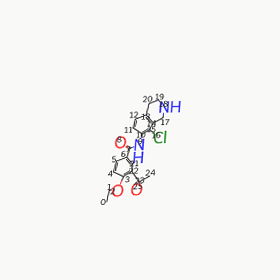 CCOc1ccc(C(=O)Nc2ccc3c(c2Cl)CNCC3)cc1C(C)=O